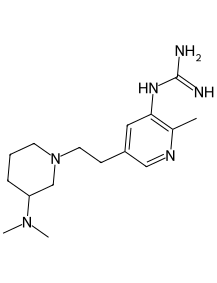 Cc1ncc(CCN2CCCC(N(C)C)C2)cc1NC(=N)N